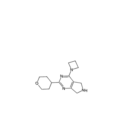 C1CN(c2nc(C3CCOCC3)nc3c2CNC3)C1